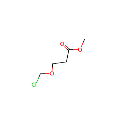 COC(=O)CCOCCl